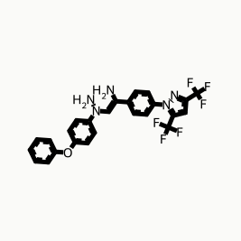 N/C(=C\N(N)c1ccc(Oc2ccccc2)cc1)c1ccc(-n2nc(C(F)(F)F)cc2C(F)(F)F)cc1